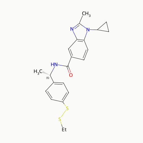 CCSSc1ccc([C@H](C)NC(=O)c2ccc3c(c2)nc(C)n3C2CC2)cc1